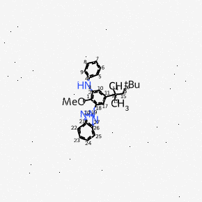 COc1c(Nc2ccccc2)cc(C(C)(C)CC(C)(C)C)cc1-n1nc2ccccc2n1